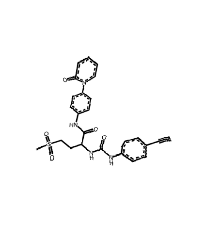 C#Cc1ccc(NC(=O)NC(CCS(C)(=O)=O)C(=O)Nc2ccc(-n3ccccc3=O)cc2)cc1